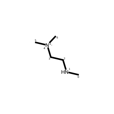 CNCC[N+](C)C